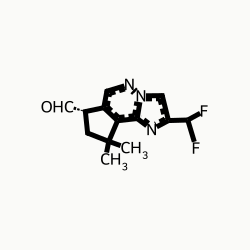 CC1(C)C[C@H](C=O)c2cnn3cc(C(F)F)nc3c21